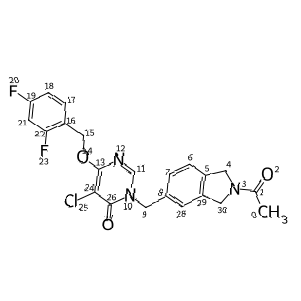 CC(=O)N1Cc2ccc(Cn3cnc(OCc4ccc(F)cc4F)c(Cl)c3=O)cc2C1